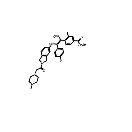 COC(=O)c1ccc(/C(C=O)=C(/Nc2ccc3c(c2)CN(C(=O)CN2CCN(C)CC2)C3)c2ccc(F)cc2)c(C)c1